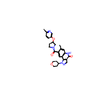 Cc1ccc(OC2CCN(C(=O)c3cc4c(cc3C)[nH]c(=O)c3cnn(C5CCOCC5)c34)C2)cn1